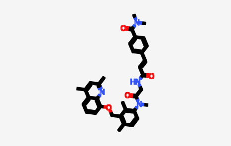 Cc1cc(C)c2cccc(OCc3c(C)ccc(N(C)C(=O)CNC(=O)/C=C/c4ccc(C(=O)N(C)C)cc4)c3C)c2n1